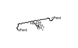 CCCCC/C=C\C/C=C\CCCCCCCCC(CCCCCCCC/C=C\C/C=C\CCCCC)NC(O)CN(C)C